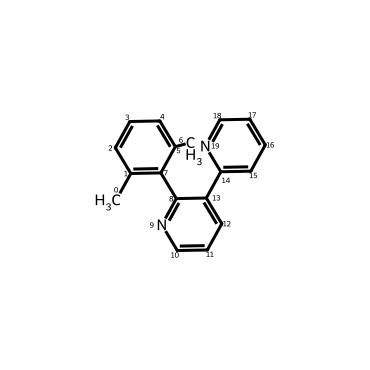 Cc1cccc(C)c1-c1ncccc1-c1ccccn1